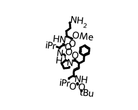 COC(=O)C(CCCN)NC(=O)C(NC(=O)[C@@H]1CCCN1C(=O)C(/C=C/C(CC(C)C)NC(=O)OC(C)(C)C)Cc1ccccc1)C(C)C